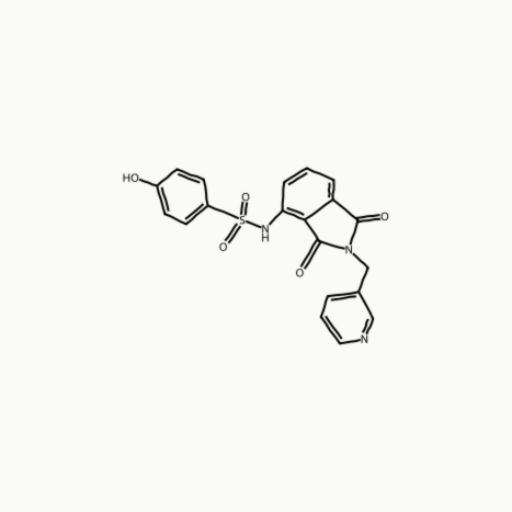 O=C1c2cccc(NS(=O)(=O)c3ccc(O)cc3)c2C(=O)N1Cc1cccnc1